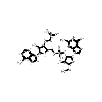 Nc1nc2c(ncn2[C@@H]2O[C@H](CO)C(F)[C@@H]2OP(=O)(O)OC[C@H]2O[C@@H](n3cnc4c(N)ncnc43)C(O)[C@H]2OC[PH](=O)O)c(=O)[nH]1